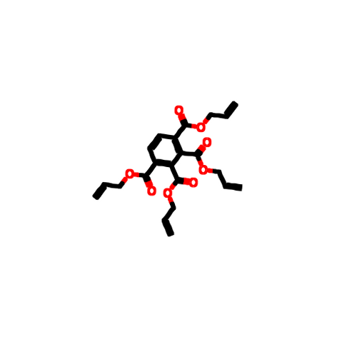 C=CCOC(=O)c1ccc(C(=O)OCC=C)c(C(=O)OCC=C)c1C(=O)OCC=C